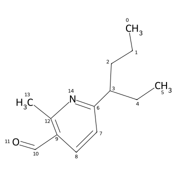 CCCC(CC)c1ccc(C=O)c(C)n1